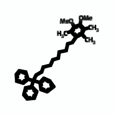 COc1c(C)c(C)c(CCCCCCCCCCC(c2ccccc2)(c2ccccc2)c2ccccc2)c(C)c1OC